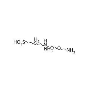 N.NCCCOCCOCCNCCC[SiH2]CCCCS(=O)(=O)O